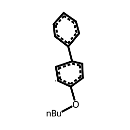 CCCCOc1[c]cc(-c2ccccc2)cc1